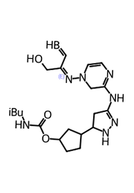 B=C/C(CO)=N\N1C=CN=C(NC2=NNC(C3CCC(OC(=O)NC(C)CC)C3)C2)C1